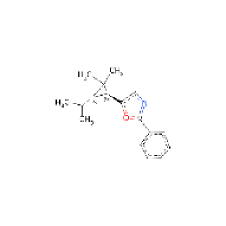 CC(C)[C@H]1[C@H](c2cnc(-c3ccccc3)o2)C1(C)C